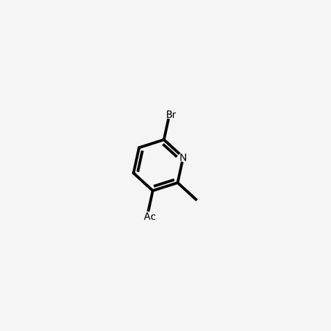 CC(=O)c1ccc(Br)nc1C